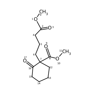 COC(=O)CCCC1(C(=O)OC)CCCCC1=O